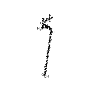 CCCN(OCCNC(=O)NCC)C(=O)C1=Cc2sc(CC3CN(C(=O)CCOCCOCCOCCOCCOCCOCCOCCOCCOCCOCCC(=O)O)C3)cc2N=C(N)C1